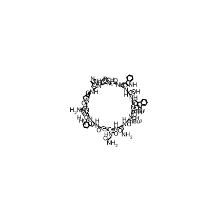 CCCC[C@H]1C(=O)N(C)[C@@H](CCCC)C(=O)N[C@@H](CCN)C(=O)N[C@H](C(=O)NCC(N)=O)CSCC(=O)N[C@@H](Cc2ccccc2)C(=O)N(C)[C@@H](C)C(=O)N[C@@H](CC(N)=O)C(=O)N2CCC[C@H]2C(=O)N[C@@H](Cc2cnc[nH]2)C(=O)N[C@@H](CC(C)C)C(=O)N(C)CC(=O)N[C@@H](Cc2c[nH]c3ccccc23)C(=O)N[C@@H](CO)C(=O)N[C@@H](Cc2c[nH]c3ccccc23)C(=O)N1C